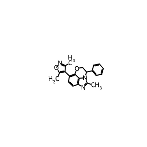 Cc1noc(C)c1-c1ccc2nc(C)n3c2c1OCC3c1ccccc1